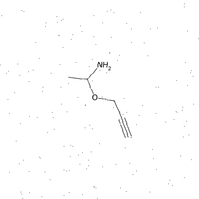 [C]#CCOC(C)N